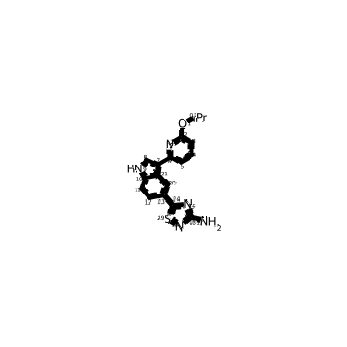 CC(C)Oc1cccc(-c2c[nH]c3ccc(-c4nc(N)ns4)cc23)n1